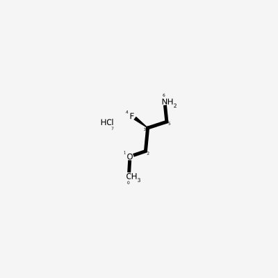 COC[C@@H](F)CN.Cl